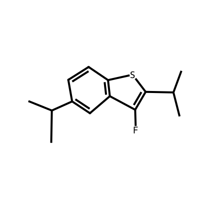 CC(C)c1ccc2sc(C(C)C)c(F)c2c1